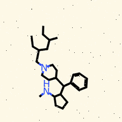 CCC(C)CC(CC)CN1CCC(C(c2ccccc2)C2CCCC2NC)CC1